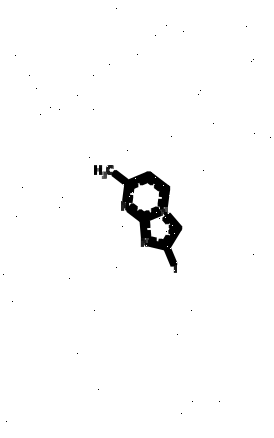 Cc1ccn2cc(I)nc2n1